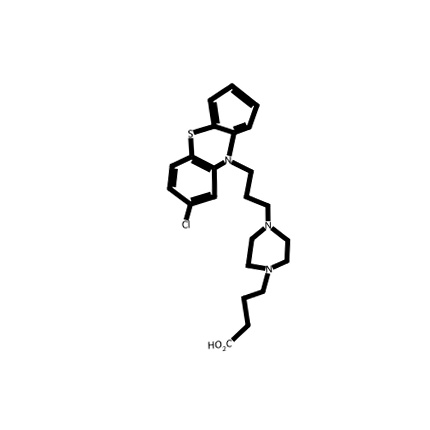 O=C(O)CCCN1CCN(CCCN2c3ccccc3Sc3ccc(Cl)cc32)CC1